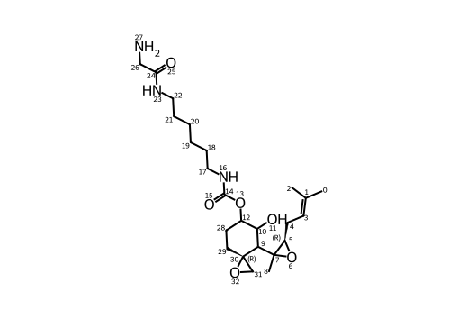 CC(C)=CC[C@H]1OC1(C)C1C(O)C(OC(=O)NCCCCCCNC(=O)CN)CC[C@]12CO2